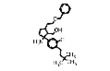 CC(C)(C)CCc1ccc(C2(N)CCC(CCOCc3ccccc3)C2CO)cc1Cl